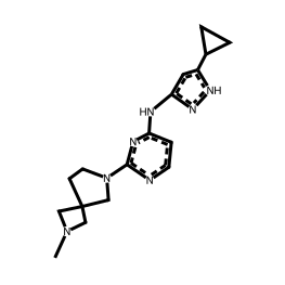 CN1CC2(CCN(c3nccc(Nc4cc(C5CC5)[nH]n4)n3)C2)C1